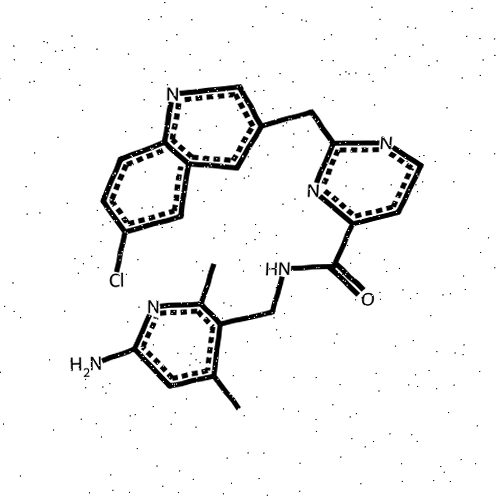 Cc1cc(N)nc(C)c1CNC(=O)c1ccnc(Cc2cnc3ccc(Cl)cc3c2)n1